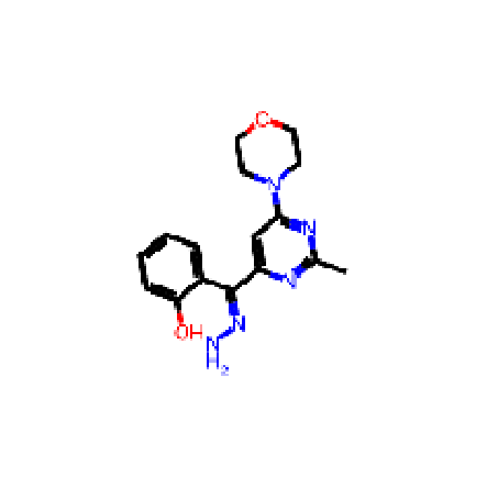 Cc1nc(C(=NN)c2ccccc2O)cc(N2CCOCC2)n1